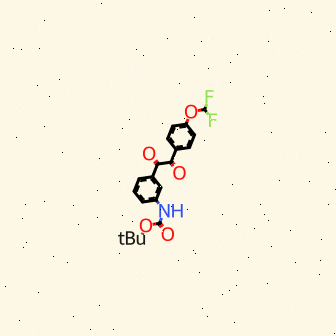 CC(C)(C)OC(=O)Nc1cccc(C(=O)C(=O)c2ccc(OC(F)F)cc2)c1